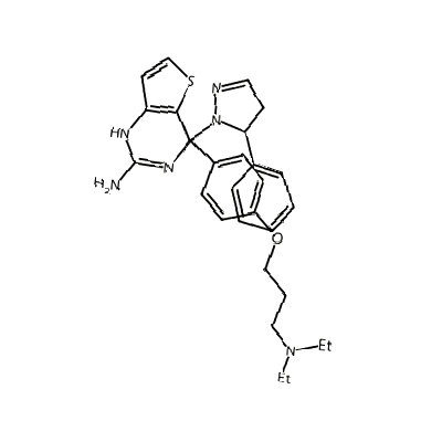 CCN(CC)CCCOc1ccc(C2(N3N=CCC3c3ccccc3)N=C(N)Nc3ccsc32)cc1